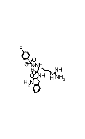 N=C(N)NCCC[C@H](NNS(=O)(=O)c1ccc(F)cc1)C(=O)N[C@@H](Cc1ccccc1)C(N)=O